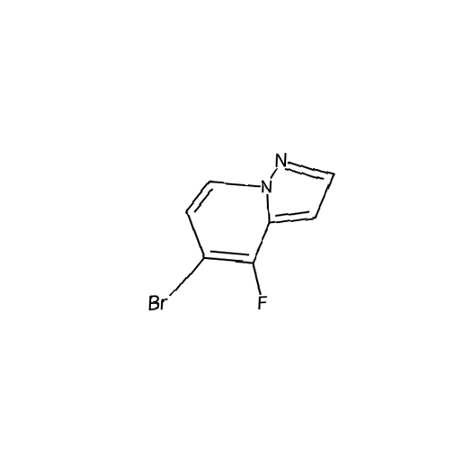 Fc1c(Br)ccn2nccc12